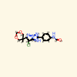 CC1(c2nn3nc(-c4ccc(NC=O)cc4)[nH]c3c2Cl)COCOC1